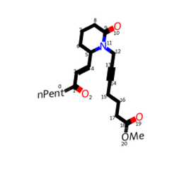 CCCCCC(=O)/C=C/C1CCCC(=O)N1CC#CCCCC(=O)OC